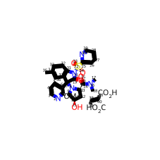 COc1ncccc1C1(N2C[C@H](O)C[C@H]2C(=O)N(C)C)C(=O)N(S(=O)(=O)c2ccccn2)c2ccc(C)cc21.O=C(O)C=CC(=O)O